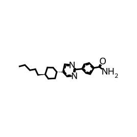 CCCCC[C@H]1CC[C@H](c2cnc(-c3ccc(C(N)=O)cc3)nc2)CC1